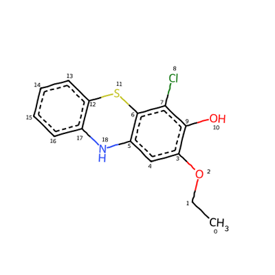 CCOc1cc2c(c(Cl)c1O)Sc1ccccc1N2